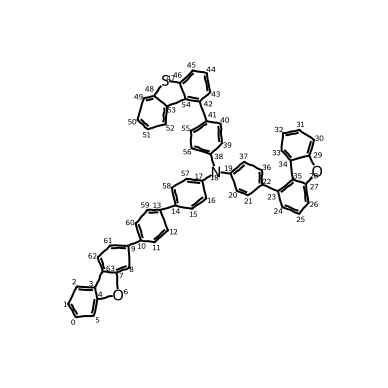 c1ccc2c(c1)oc1cc(-c3ccc(-c4ccc(N(c5ccc(-c6cccc7oc8ccccc8c67)cc5)c5ccc(-c6cccc7sc8ccccc8c67)cc5)cc4)cc3)ccc12